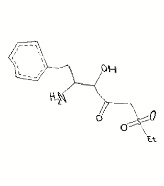 CCS(=O)(=O)CC(=O)C(O)C(N)Cc1ccccc1